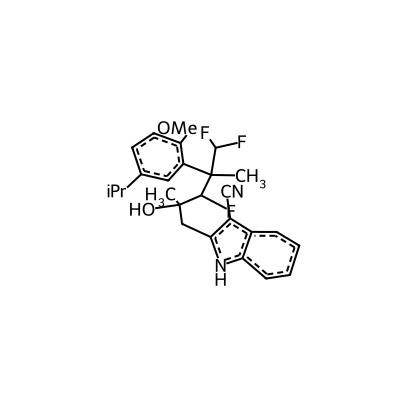 COc1ccc(C(C)C)cc1C(C)(C(F)F)C(F)C(C)(O)Cc1[nH]c2ccccc2c1C#N